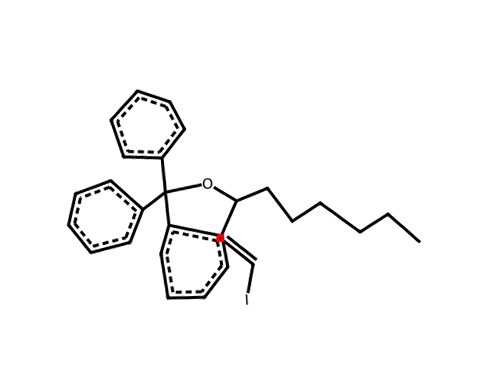 CCCCCCC(C=CI)OC(c1ccccc1)(c1ccccc1)c1ccccc1